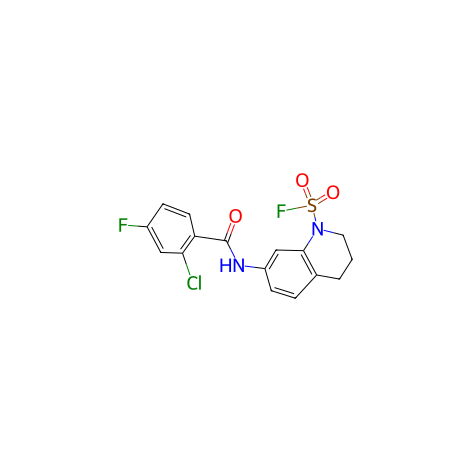 O=C(Nc1ccc2c(c1)N(S(=O)(=O)F)CCC2)c1ccc(F)cc1Cl